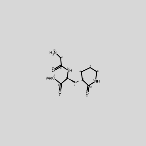 COC(=O)[C@H](C[C@@H]1CCCNC1=O)NC(=O)CN